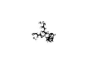 COC(=O)C[C@H](OC(=O)C(C)CS)C(=O)O.NC12CC3CC(CC(C3)C1)C2